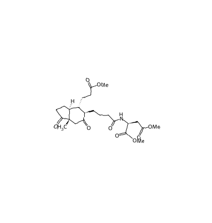 COC(=O)CC[C@@H]1[C@@H](CCCC(=O)N[C@@H](CC(=O)OC)C(=O)OC)C(=O)C[C@]2(C)C(=O)CC[C@@H]12